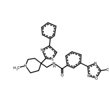 Cc1nc(-c2cccc(C(=O)NCC3(c4nc(-c5ccccc5)cs4)CCN(C)CC3)c2)no1